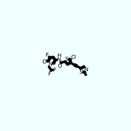 Cc1ncc(C#Cc2cc(C(=O)Nc3cc(F)c(=O)n(CC(F)F)c3)sc2Cl)s1